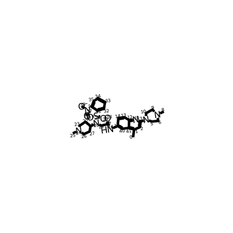 Cc1cc(N2CCN(C)CC2)nc2ccc(NC(=O)CN(C3CCN(C)CC3)S(=O)(=O)c3ccccc3[N+](=O)[O-])cc12